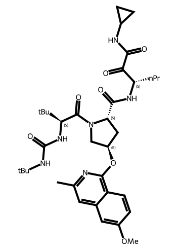 CCC[C@H](NC(=O)[C@@H]1C[C@@H](Oc2nc(C)cc3cc(OC)ccc23)CN1C(=O)[C@@H](NC(=O)NC(C)(C)C)C(C)(C)C)C(=O)C(=O)NC1CC1